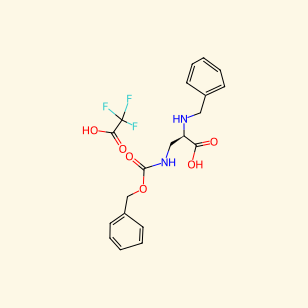 O=C(NC[C@@H](NCc1ccccc1)C(=O)O)OCc1ccccc1.O=C(O)C(F)(F)F